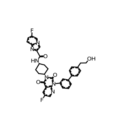 O=C(N[C@H]1CC[C@@H](n2c(=O)c3cc(F)cnc3n(-c3cccc(-c4ccc(CCO)cc4)c3)c2=O)CC1)c1cn2cc(F)ccc2n1